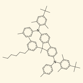 CCCCCCc1cc(C)cc(C2(C)c3cc(N(c4ccc(C)cc4)c4c(C)cc(C(C)(C)C)cc4C)ccc3-c3ccc(N(c4ccc(C)cc4)c4c(C)cc(C(C)(C)C)cc4C)cc32)c1